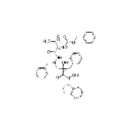 CC(C)[C@H](NC(=O)OCc1ccccc1)C(=O)NN(Cc1ccccc1)C[C@](O)(Cc1ccccc1)C(=O)N(O)C1CCc2ccccc21